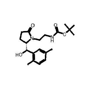 Cc1ccc(C)c(C(O)[C@@H]2CCC(=O)N2CCNC(=O)OC(C)(C)C)c1